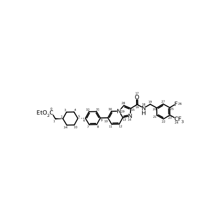 CCOC(=O)C[C@H]1CC[C@H](c2ccc(-c3ccc4nc(C(=O)NCc5ccc(C(F)(F)F)c(F)c5)cn4c3)cc2)CC1